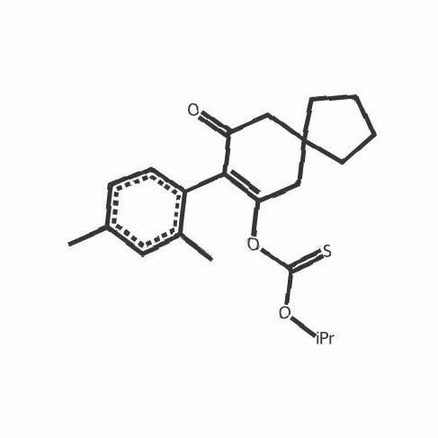 Cc1ccc(C2=C(OC(=S)OC(C)C)CC3(CCCC3)CC2=O)c(C)c1